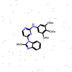 COc1cc(Nc2nccc(-n3c(SC)nc4ccccc43)n2)cc(OC)c1OC